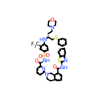 O=C(NS(=O)(=O)c1ccc(N[C@H](CCN2CCOCC2)CSc2ccccc2)c(C(F)(F)F)c1)c1cccc(N2CCc3cccc(C(=O)Nc4nc5ccccc5s4)c3C2)n1